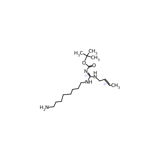 C/C=C/CN/C(=N\C(=O)OC(C)(C)C)NCCCCCCCCN